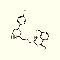 Cc1cccc2c(=O)[nH]c(CCCC3CC(c4ccc(F)cc4)=CCN3)nc12